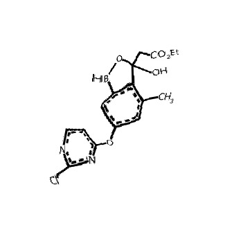 CCOC(=O)CC1(O)OBc2cc(Oc3ccnc(Cl)n3)cc(C)c21